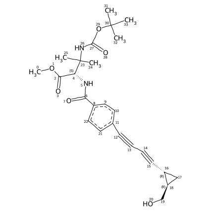 COC(=O)[C@@H](NC(=O)c1ccc(C#CC#C[C@@H]2C[C@H]2CO)cc1)C(C)(C)NC(=O)OC(C)(C)C